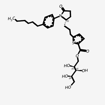 CCCCCCc1ccc(N2C(=O)CC[C@@H]2CCCc2ccc(C(=O)OC[C@H](O)[C@@H](O)[C@H](O)CO)s2)cc1